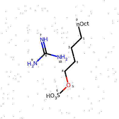 CCCCCCCCCCCCOS(=O)(=O)O.N=C(N)N